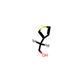 [2H]C([2H])(CO)c1ccsc1